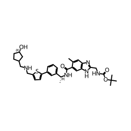 Cc1cc2nc(CNC(=O)OC(C)(C)C)[nH]c2cc1C(=O)N[C@H](C)c1cccc(-c2ccc(CNCC3CC[C@@H](O)C3)s2)c1